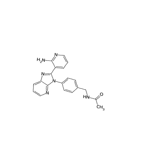 CC(=O)NCc1ccc(-n2c(-c3cccnc3N)nc3cccnc32)cc1